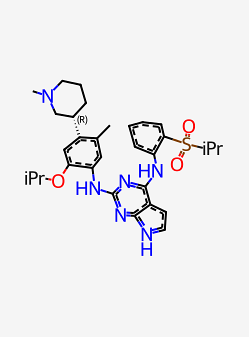 Cc1cc(Nc2nc(Nc3ccccc3S(=O)(=O)C(C)C)c3cc[nH]c3n2)c(OC(C)C)cc1[C@H]1CCCN(C)C1